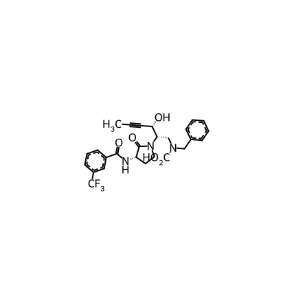 CC#C[C@H](O)[C@H](CN(Cc1ccccc1)C(=O)O)N1CC[C@H](NC(=O)c2cccc(C(F)(F)F)c2)C1=O